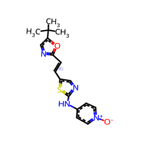 CC(C)(C)c1cnc(/C=C/c2cnc(Nc3cc[n+]([O-])cc3)s2)o1